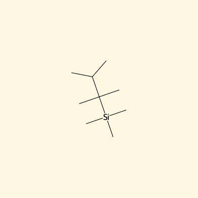 CC(C)C(C)(C)[Si](C)(C)C